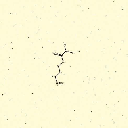 CCCCCCCCCOC(=O)C(I)CC